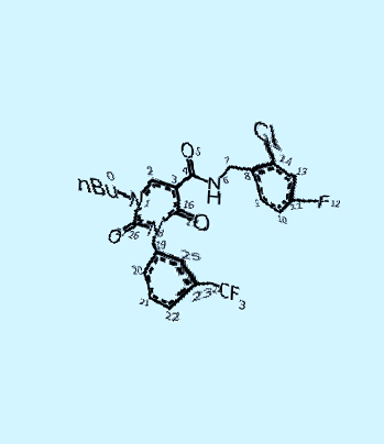 CCCCn1cc(C(=O)NCc2ccc(F)cc2Cl)c(=O)n(-c2cccc(C(F)(F)F)c2)c1=O